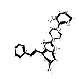 FC(F)(F)c1cc(/C=C/c2ccccc2)c2[nH]c(N3CCN(c4ncccc4C(F)(F)F)CC3)nc2c1